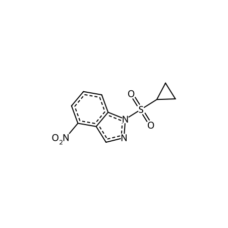 O=[N+]([O-])c1cccc2c1cnn2S(=O)(=O)C1CC1